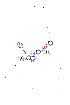 COc1cc2ncnc(Nc3ccc(C(C)=NOCc4ccccc4)cc3)c2cc1OCCCN1CCOCC1